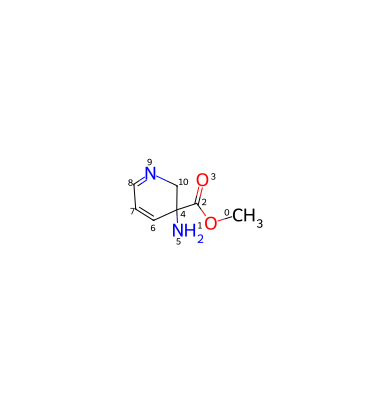 COC(=O)C1(N)C=CC=NC1